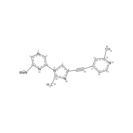 CNc1cncc(-n2cc(C#Cc3ccnc(C)c3)nc2C)n1